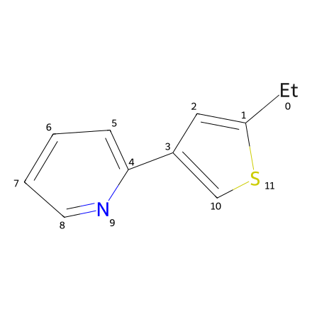 CCc1cc(-c2ccccn2)cs1